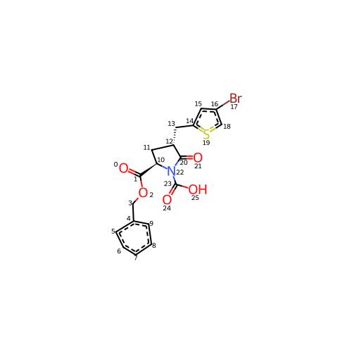 O=C(OCc1ccccc1)[C@H]1C[C@H](Cc2cc(Br)cs2)C(=O)N1C(=O)O